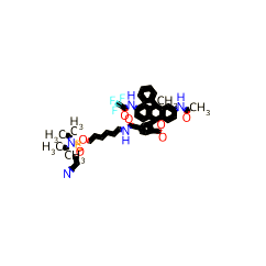 CC(=O)Nc1ccc2c(c1)C(C)(c1ccccc1)c1cc(NC(=O)C(F)(F)F)ccc1C21OC(=O)c2ccc(C(=O)NCCCCCCOP(OCCC#N)N(C(C)C)C(C)C)cc21